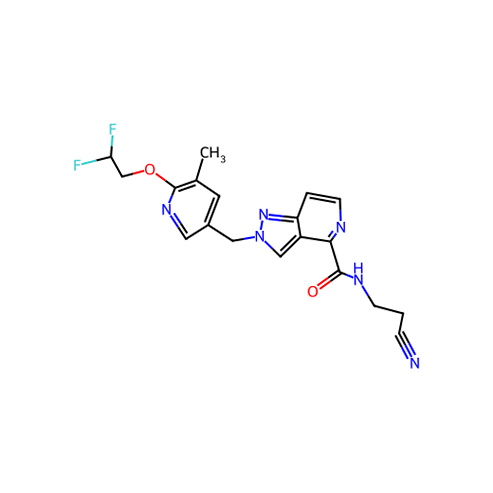 Cc1cc(Cn2cc3c(C(=O)NCCC#N)nccc3n2)cnc1OCC(F)F